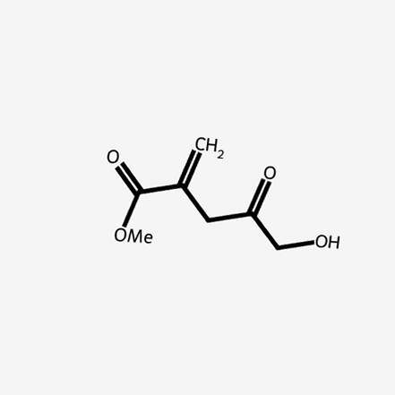 C=C(CC(=O)CO)C(=O)OC